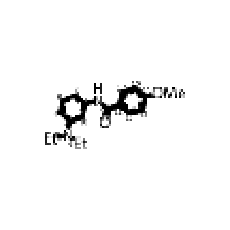 CCN(CC)c1cccc(NC(=O)c2ccc(OC)cc2)c1